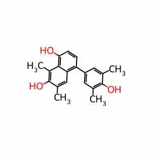 Cc1cc(-c2ccc(O)c3c(C)c(O)c(C)cc23)cc(C)c1O